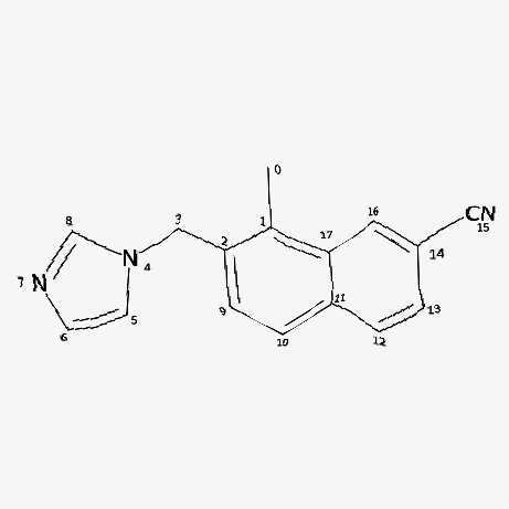 Cc1c(Cn2ccnc2)ccc2ccc(C#N)cc12